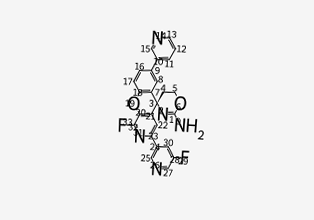 NC1=N[C@@]2(CCO1)c1cc(-c3cccnc3)ccc1Oc1c2cc(-c2cncc(F)c2)nc1F